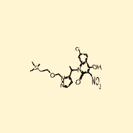 CC(c1ccnn1COCC[Si](C)(C)C)n1c(=O)c([N+](=O)[O-])c(O)c2ccc(Cl)cc21